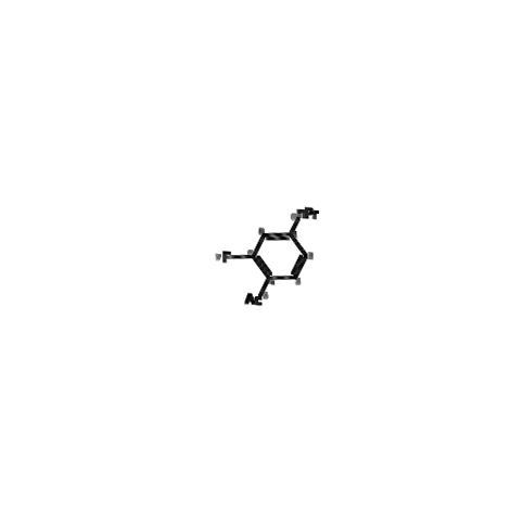 CCCc1ccc(C(C)=O)c(F)c1